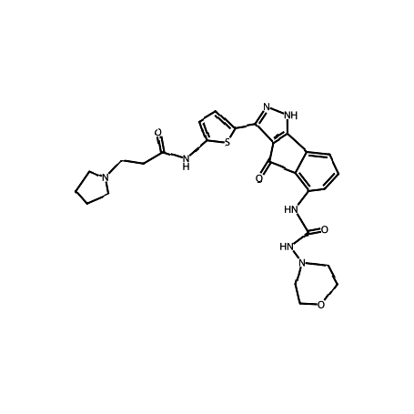 O=C(CCN1CCCC1)Nc1ccc(-c2n[nH]c3c2C(=O)c2c(NC(=O)NN4CCOCC4)cccc2-3)s1